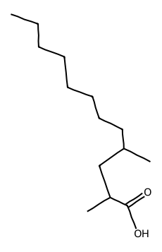 CCCCCCCCC(C)CC(C)C(=O)O